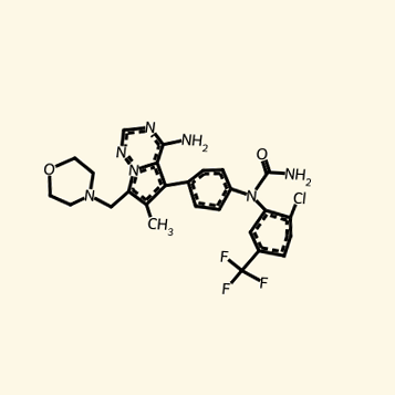 Cc1c(-c2ccc(N(C(N)=O)c3cc(C(F)(F)F)ccc3Cl)cc2)c2c(N)ncnn2c1CN1CCOCC1